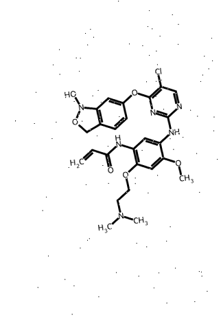 C=CC(=O)Nc1cc(Nc2ncc(Cl)c(Oc3ccc4c(c3)N(O)OC4)n2)c(OC)cc1OCCN(C)C